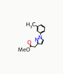 COC(=O)Cc1ccn(-c2cccc(C)c2)n1